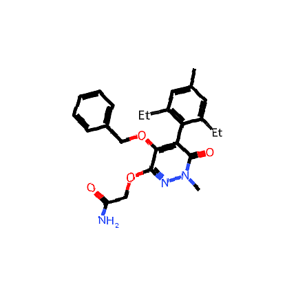 CCc1cc(C)cc(CC)c1-c1c(OCc2ccccc2)c(OCC(N)=O)nn(C)c1=O